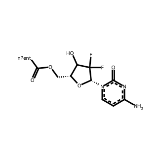 CCCCCC(=O)OC[C@H]1O[C@@H](n2ccc(N)nc2=O)C(F)(F)C1O